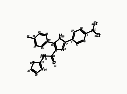 CCN(CC)c1ccc(-c2nc(C(=O)Nc3nccs3)c(-c3ccc(C)cc3)[nH]2)cc1